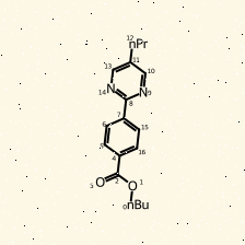 CCCCOC(=O)c1ccc(-c2ncc(CCC)cn2)cc1